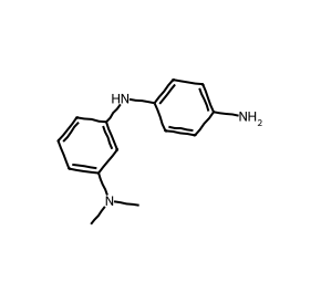 CN(C)c1cccc(Nc2ccc(N)cc2)c1